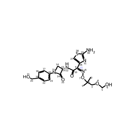 CC(C)(COCO)O/N=C(\C(=O)N[C@H]1CN(c2ccc(CO)cc2)C1=O)c1csc(N)n1